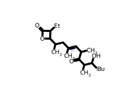 CCC(C)C(O)C(C)C(=O)C(C)/C=C(\C)CC(C)C1OC(=O)C1CC